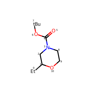 CCC1CN(C(=O)OC(C)(C)C)CCO1